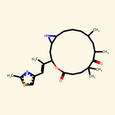 C/C(=C\c1csc(C)n1)C1CC2NC2CCCC(C)CC(C)C(=O)C(C)(C)CCC(=O)O1